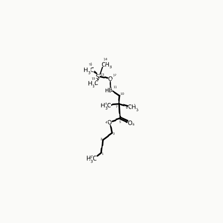 CCCCOC(=O)C(C)(C)CBO[Si](C)(C)C